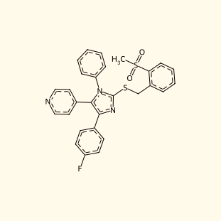 CS(=O)(=O)c1ccccc1CSc1nc(-c2ccc(F)cc2)c(-c2ccncc2)n1-c1ccccc1